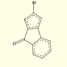 O=C1c2ccccc2-c2cc(Br)sc21